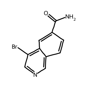 NC(=O)c1ccc2cncc(Br)c2c1